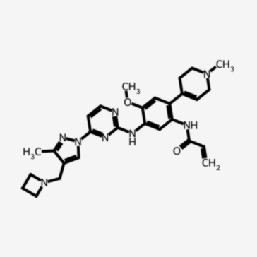 C=CC(=O)Nc1cc(Nc2nccc(-n3cc(CN4CCC4)c(C)n3)n2)c(OC)cc1C1=CCN(C)CC1